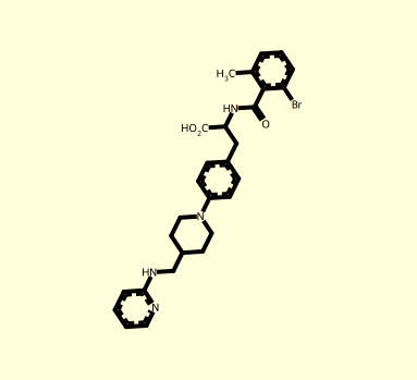 Cc1cccc(Br)c1C(=O)NC(Cc1ccc(N2CCC(CNc3ccccn3)CC2)cc1)C(=O)O